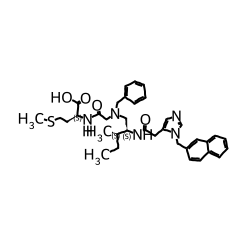 CC[C@H](C)[C@@H](CN(CC(=O)N[C@@H](CCSC)C(=O)O)Cc1ccccc1)NC(=O)Cc1cncn1Cc1ccc2ccccc2c1